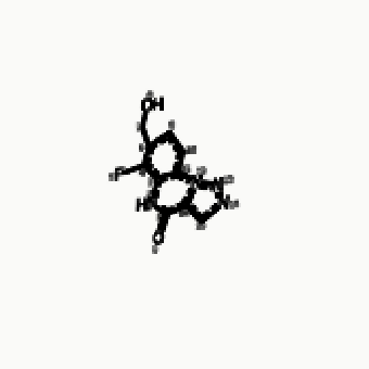 O=c1[nH]c2c(F)c(CO)ccc2n2nncc12